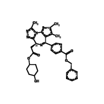 Cc1sc2c(c1C)C(c1ccc(C(=O)OCc3ccccc3)cc1)=N[C@@H](CC(=O)OC1CCC(O)CC1)c1nnc(C)n1-2